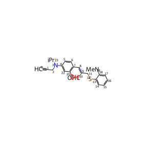 C#CCN(c1ccc(/C=C(\C=O)CSc2ccccc2NC)c(O)c1)C(C)C